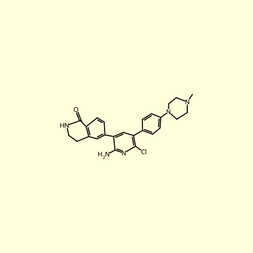 CN1CCN(c2ccc(-c3cc(-c4ccc5c(c4)CCNC5=O)c(N)nc3Cl)cc2)CC1